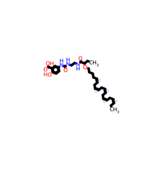 CC/C=C\C/C=C\C/C=C\C/C=C\C/C=C\CCCCOC(CC)C(=O)NCCNC(=O)Nc1ccc(O)c(C(=O)O)c1